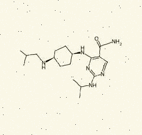 CC(C)CN[C@H]1CC[C@@H](Nc2nc(NC(C)C)ncc2C(N)=O)CC1